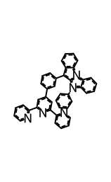 c1ccc(-n2c3ccccc3n3c4ccccc4c(-c4cccc(-c5cc(-c6ccccn6)nc(-c6ccccn6)c5)c4)c23)cc1